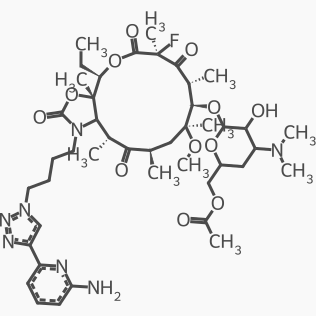 CC[C@H]1OC(=O)[C@@](C)(F)C(=O)[C@H](C)[C@@H](OC2OC(COC(C)=O)CC(N(C)C)C2O)[C@@](C)(OC)C[C@@H](C)C(=O)[C@H](C)C2N(CCCCn3cc(-c4cccc(N)n4)nn3)C(=O)O[C@@]21C